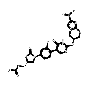 CC(=O)NC[C@H]1CN(c2ccc(-c3cnc(O[C@@H]4COc5nc([N+](=O)[O-])cn5C4)[nH]c3=O)c(F)c2)C(=O)O1